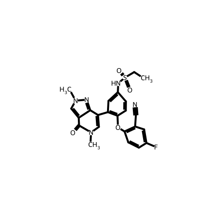 CCS(=O)(=O)Nc1ccc(Oc2ccc(F)cc2C#N)c(-c2cn(C)c(=O)c3cn(C)nc23)c1